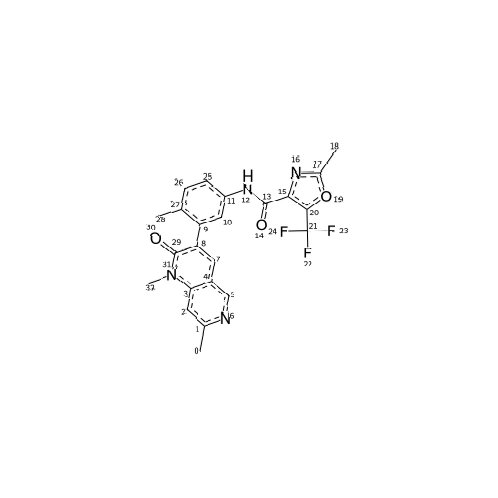 Cc1cc2c(cn1)cc(-c1cc(NC(=O)c3nc(C)oc3C(F)(F)F)ccc1C)c(=O)n2C